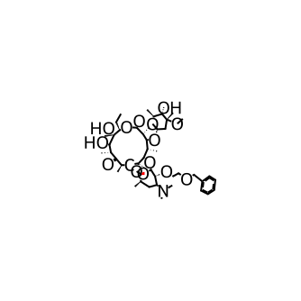 CC[C@H]1OC(=O)[C@H](C)[C@@H](O[C@H]2C[C@@](C)(OC)[C@@H](O)[C@H](C)O2)[C@H](C)[C@@H](O[C@@H]2O[C@H](C)C[C@H](N(C)C)[C@H]2OCCOCc2ccccc2)[C@@](C)(OC)C[C@@H](C)C(=O)[C@H](C)[C@@H](O)[C@]1(C)O